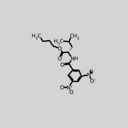 CCCCOC(=O)[C@H](CC(C)C)NC(=O)c1cc([N+](=O)[O-])cc([N+](=O)[O-])c1